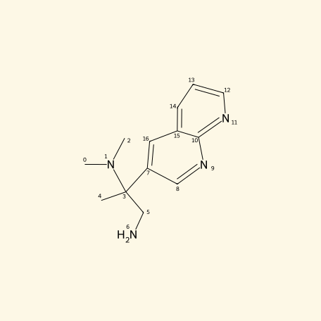 CN(C)C(C)(CN)c1cnc2ncccc2c1